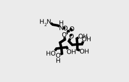 NCCNOP(=O)(OCCC(CO)(CO)CO)OCCC(CO)(CO)CO